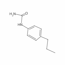 CCCc1ccc(NC(N)=O)cc1